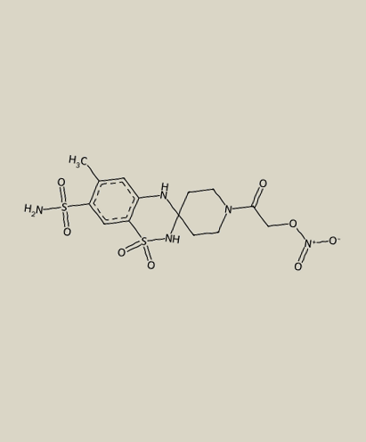 Cc1cc2c(cc1S(N)(=O)=O)S(=O)(=O)NC1(CCN(C(=O)CO[N+](=O)[O-])CC1)N2